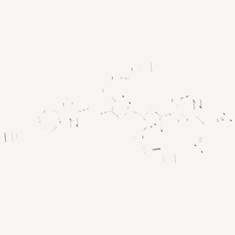 CC(=O)N(C)C(O/C=c1/s/c(=c2/sc(=CC=C3Oc4ccc(CO)cc4N3C)c(=O)n2CC(=O)O)c(=O)n1CC(=O)O)=C(C#N)C#N